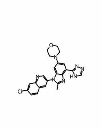 Cc1nc2c(-c3nnc[nH]3)cc(N3CCOCC3)cc2n1-c1cnc2cc(Cl)ccc2c1